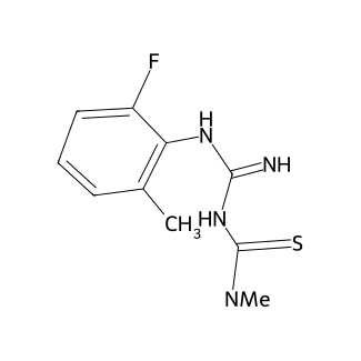 CNC(=S)NC(=N)Nc1c(C)cccc1F